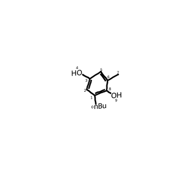 CCCCc1cc(O)cc(C)c1O